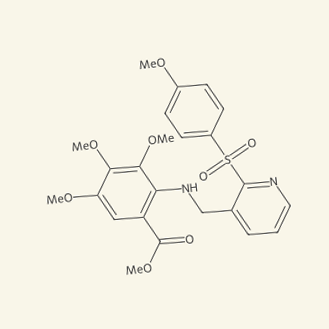 COC(=O)c1cc(OC)c(OC)c(OC)c1NCc1cccnc1S(=O)(=O)c1ccc(OC)cc1